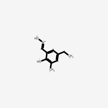 CCc1cc(C)c(O)c(/C=N/O)c1